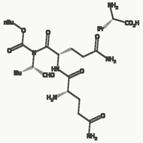 CC(C)[C@H](N)C(=O)O.CCCCOC(=O)N(C(=O)[C@H](CCC(N)=O)NC(=O)[C@@H](N)CCC(N)=O)[C@H](C=O)[C@@H](C)CC